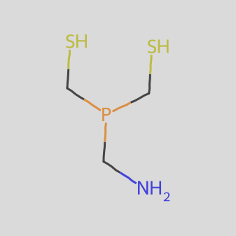 NCP(CS)CS